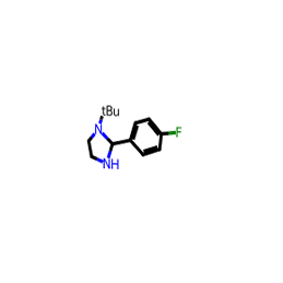 CC(C)(C)N1CCNC1c1ccc(F)cc1